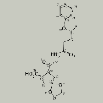 CC(CCC(=O)NCC(=O)N1CC2(C[C@H]1C(=O)O)OCCO2)Oc1ccccc1